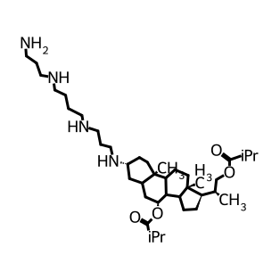 CC(C)C(=O)OC[C@@H](C)[C@H]1CCC2C3C(CC[C@@]21C)[C@@]1(C)CC[C@@H](NCCCNCCCCNCCCN)CC1C[C@H]3OC(=O)C(C)C